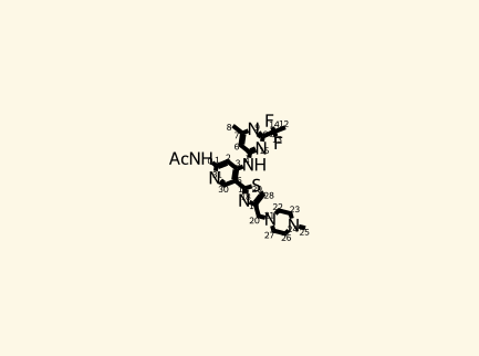 CC(=O)Nc1cc(Nc2cc(C)nc(C(C)(F)F)n2)c(-c2nc(CN3CCN(C)CC3)cs2)cn1